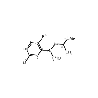 CCc1ncc(F)c(N(C=O)CC(C)OC)n1